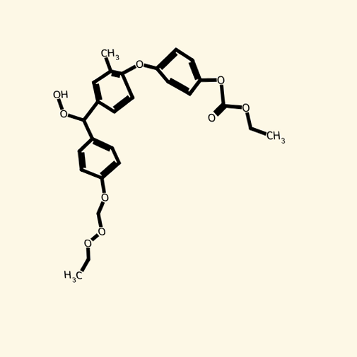 CCOOCOc1ccc(C(OO)c2ccc(Oc3ccc(OC(=O)OCC)cc3)c(C)c2)cc1